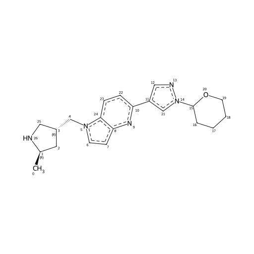 C[C@@H]1C[C@@H](Cn2ccc3nc(-c4cnn(C5CCCCO5)c4)ccc32)CN1